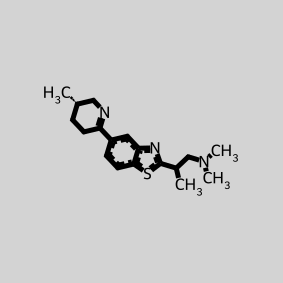 CC(CN(C)C)c1nc2cc(C3=NC[C@@H](C)CC3)ccc2s1